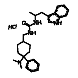 CC(Cc1c[nH]c2ccccc12)NC(=O)NCC1CCC(c2ccccc2)(N(C)C)CC1.Cl